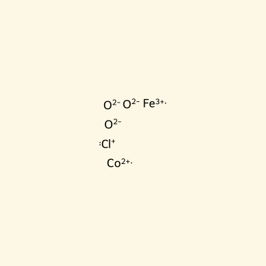 [Cl+].[Co+2].[Fe+3].[O-2].[O-2].[O-2]